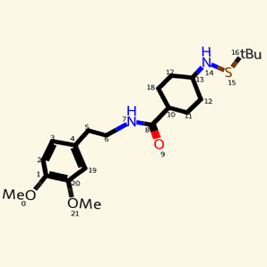 COc1ccc(CCNC(=O)C2CCC(NSC(C)(C)C)CC2)cc1OC